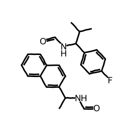 CC(C)C(NC=O)c1ccc(F)cc1.CC(NC=O)c1ccc2ccccc2c1